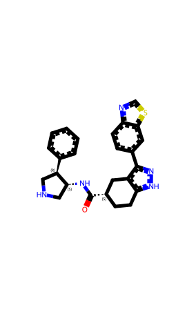 O=C(N[C@@H]1CNC[C@H]1c1ccccc1)[C@H]1CCc2[nH]nc(-c3ccc4ncsc4c3)c2C1